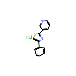 Cl.c1ccc(-c2csc(-c3cccnc3)n2)cc1